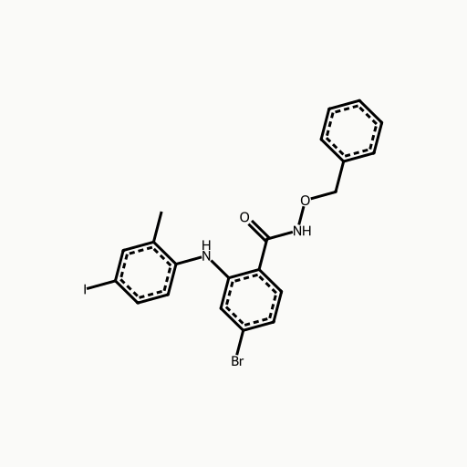 Cc1cc(I)ccc1Nc1cc(Br)ccc1C(=O)NOCc1ccccc1